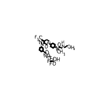 CN(C(=O)CNCCO)c1ccc(N2CCc3c(C(F)(F)F)nn(-c4cccc(C(N)=O)c4)c3C2=O)cc1.O=C(O)C(F)(F)F